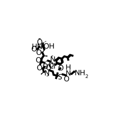 C/C=C(\C)Cc1cc(OC)c(Cl)c(N(C)C(=O)C[C@H](OC(=O)[C@H](C)N(C)C(=O)CCC(C)(C)SCC(=O)NCCN)C2(C)O[C@H]2[C@H](C)[C@@H]2C[C@](O)([C@@H](C)OC)NC(=O)O2)c1